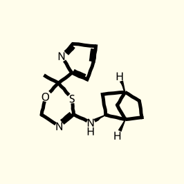 CC1(c2ccccn2)OCN=C(N[C@H]2C[C@@H]3CC[C@H]2C3)S1